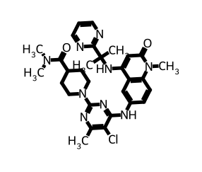 Cc1nc(N2CCC(C(=O)N(C)C)CC2)nc(Nc2ccc3c(c2)c(NC(C)(C)c2ncccn2)cc(=O)n3C)c1Cl